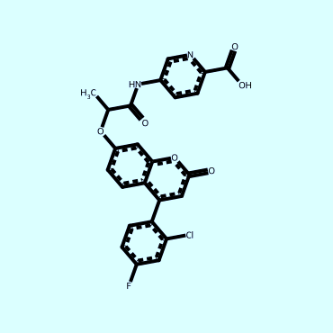 CC(Oc1ccc2c(-c3ccc(F)cc3Cl)cc(=O)oc2c1)C(=O)Nc1ccc(C(=O)O)nc1